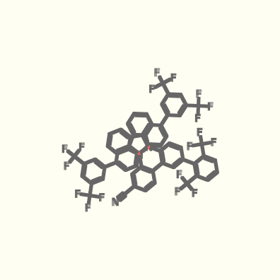 N#Cc1ccc(-c2cc(-c3c(C(F)(F)F)cccc3C(F)(F)F)ccc2-n2c3ccccc3c3cc(-c4cc(C(F)(F)F)cc(C(F)(F)F)c4)ccc32)c(-n2c3ccccc3c3cc(-c4cc(C(F)(F)F)cc(C(F)(F)F)c4)ccc32)c1